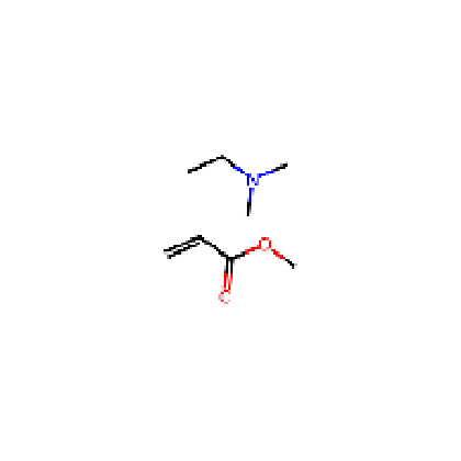 C=CC(=O)OC.CCN(C)C